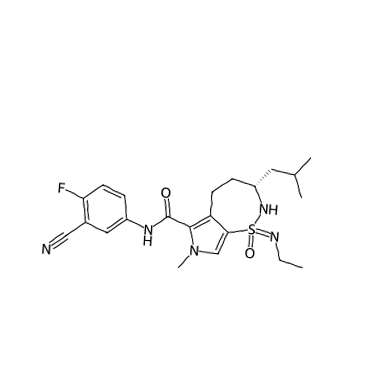 CCN=S1(=O)N[C@@H](CC(C)C)CCc2c1cn(C)c2C(=O)Nc1ccc(F)c(C#N)c1